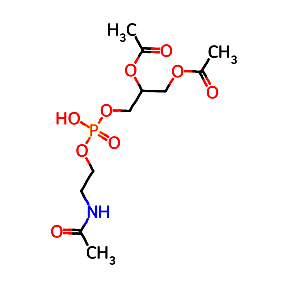 CC(=O)NCCOP(=O)(O)OCC(COC(C)=O)OC(C)=O